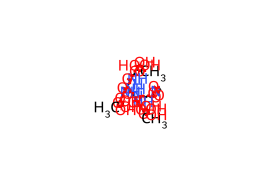 C[C@@H]1O[C@@H](OCCNC(=O)CC[C@H](NC(=O)CC[C@H](NC(=O)CCCCC(=O)ON2C(=O)CCC2=O)C(=O)NCCO[C@@H]2O[C@@H](C)[C@@H](O)[C@@H](O)[C@@H]2O)C(=O)NCCO[C@@H]2O[C@@H](C)[C@@H](O)[C@@H](O)[C@@H]2O)[C@@H](O)[C@H](O)[C@@H]1O